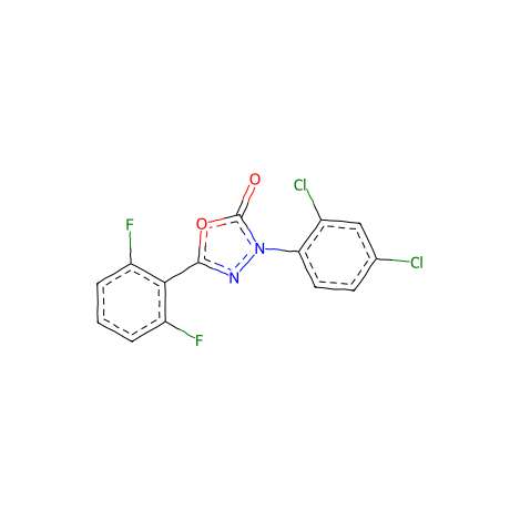 O=c1oc(-c2c(F)cccc2F)nn1-c1ccc(Cl)cc1Cl